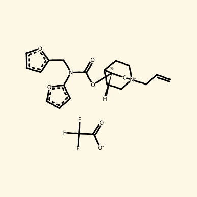 C=CC[N+]12CCC(CC1)[C@@H](OC(=O)N(Cc1ccco1)c1ccco1)C2.O=C([O-])C(F)(F)F